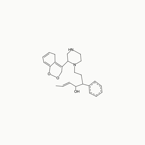 CC=CC(O)C(CCN1CCNCC1C1=C2CC=CC=C2OOC1)c1ccccc1